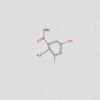 COC(=O)c1cc(O)cc(I)c1C